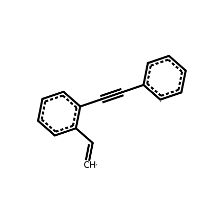 [CH]=Cc1ccccc1C#Cc1[c]cccc1